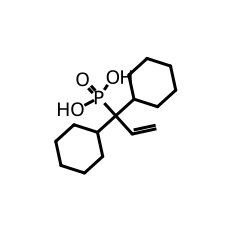 C=CC(C1CCCCC1)(C1CCCCC1)P(=O)(O)O